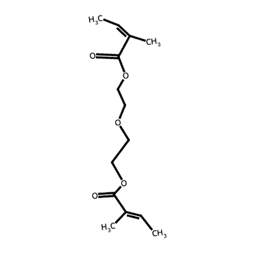 CC=C(C)C(=O)OCCOCCOC(=O)C(C)=CC